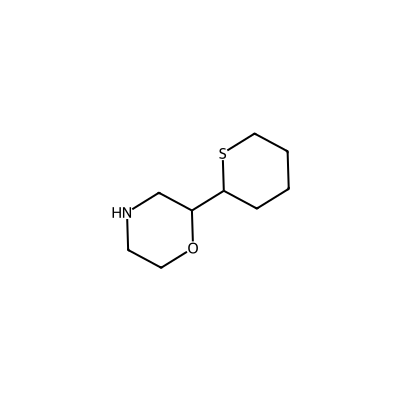 C1CCC(C2CNCCO2)SC1